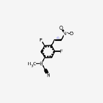 CB(C#N)c1cc(F)c(/C=C/[N+](=O)[O-])c(F)c1